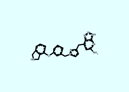 Nc1cc(Cc2ccn(Cc3cccc(Oc4cccc5c4CNC5)c3)n2)c2nn[nH]c2n1